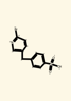 O=S(=O)(O)c1ccc(Cc2ccc(Br)nc2)cc1